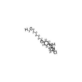 CCCCCCCCOc1ccc(Nc2nc(Cl)cs2)cc1